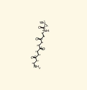 CC(C)(C)OC(=O)NCCC(=O)CCC(=O)CCC(=O)CCN